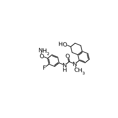 CN(C(=O)Nc1ccc(ON)c(F)c1)c1cccc2c1CC(O)CC2